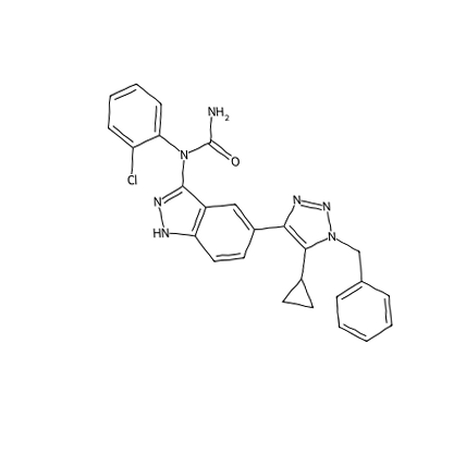 NC(=O)N(c1ccccc1Cl)c1n[nH]c2ccc(-c3nnn(Cc4ccccc4)c3C3CC3)cc12